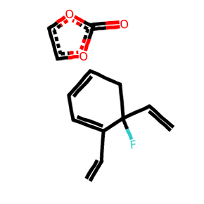 C=CC1=CC=CCC1(F)C=C.O=c1occo1